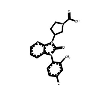 Cc1cc(Cl)ccc1-n1c(=O)n(C2CCN(C(=O)O)C2)c2ncccc21